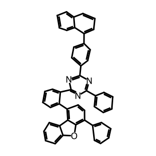 c1ccc(-c2nc(-c3ccc(-c4cccc5ccccc45)cc3)nc(-c3ccccc3-c3ccc(-c4ccccc4)c4oc5ccccc5c34)n2)cc1